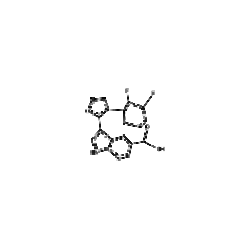 O=C(O)c1cnc2[nH]cc(-c3oncc3-c3cccc(F)c3F)c2c1